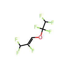 FC(=COC(F)(F)C(F)F)C(F)F